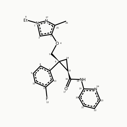 CCn1cc(OC[C@@]2(c3cccc(F)c3)C[C@H]2C(=O)Nc2ccccn2)c(C)n1